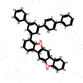 c1ccc(-c2ccc(-c3cc(-c4ccccc4)cc(-c4cccc5c4oc4cc6c(cc45)oc4ccccc46)c3)cc2)cc1